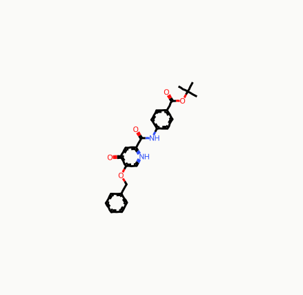 CC(C)(C)OC(=O)c1ccc(NC(=O)c2cc(=O)c(OCc3ccccc3)c[nH]2)cc1